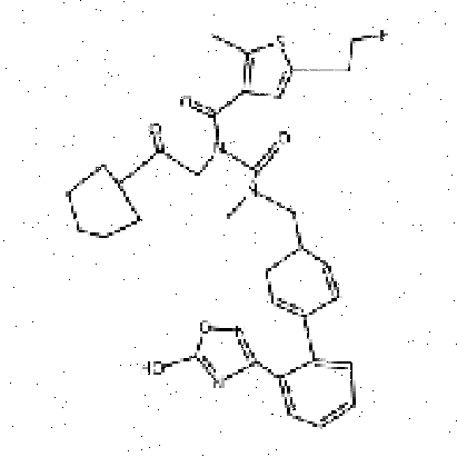 Cc1sc(CCF)cc1C(=O)N(CC(=O)C1CCCCC1)C(=O)N(C)CC1C=CC(c2ccccc2-c2noc(O)n2)=CC1